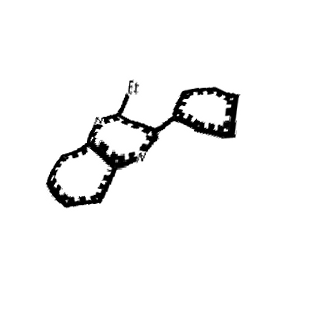 [CH2]Cc1nc2ccccc2nc1-c1ccccc1